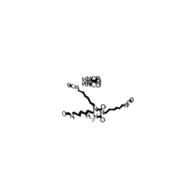 N=C=O.N=C=O.N=C=O.NC(=O)N(CCCCCCN=C=O)C(=O)N(CCCCCCN=C=O)CCCCCCN=C=O